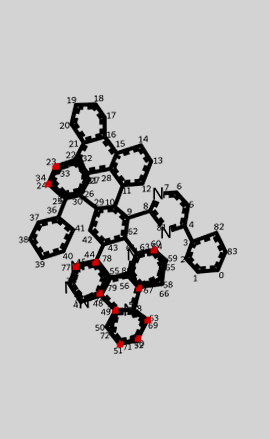 c1ccc(-c2ccnc(-c3c(-c4cccc5c6ccccc6c6ccccc6c45)c(-c4ccccc4-c4ccccc4)cc(-c4nnnc(-c5ccccn5)c4-c4ccccn4)c3-c3cccc4c5ccccc5c5ccccc5c34)n2)cc1